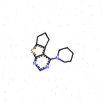 c1nc(N2CCCCC2)c2c3c(sc2n1)CCC3